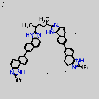 CC(C)c1nc2c([nH]1)-c1ccc(-c3ccc4c(ccc5nc(C(C)CCC(C)c6nc7ccc8cc(-c9ccc%10c(ccc%11nc(C(C)C)[nH]c%11%10)c9)ccc8c7[nH]6)[nH]c54)c3)cc1CC2